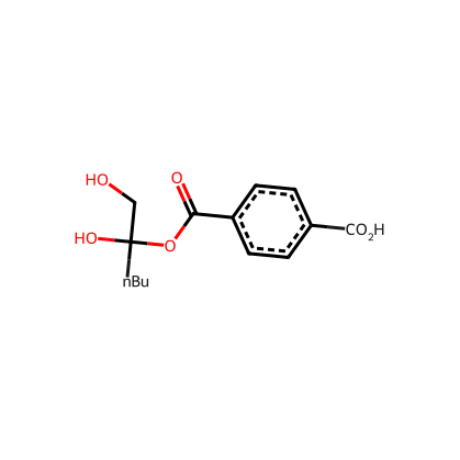 CCCCC(O)(CO)OC(=O)c1ccc(C(=O)O)cc1